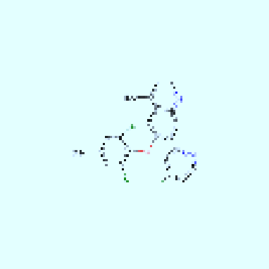 Cc1ccnc2ccc(Oc3c(Cl)cc([N+](=O)[O-])cc3Cl)cc12.Fc1ccncc1